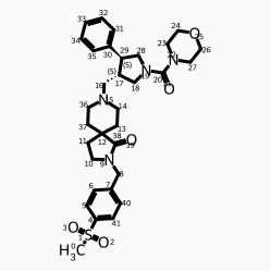 CS(=O)(=O)c1ccc(CN2CCC3(CCN(C[C@H]4CN(C(=O)N5CCOCC5)C[C@@H]4c4ccccc4)CC3)C2=O)cc1